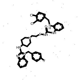 O=C(NSCCN1CCC(Nc2nc3ccccc3n2Cc2ccc(F)cc2)CC1)Nc1ccccc1NCc1ccc(Cl)c(Cl)c1